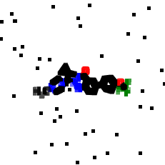 CN1CCN(CC2(Cn3nnc4ccc(-c5ccc(OC(F)(F)F)cc5)cc4c3=O)CC2)CC1